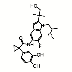 COC(C)Cn1c(C(C)(C)CO)cc2cc(NC(=O)C3(c4ccc(O)c(O)c4)CC3)c(F)cc21